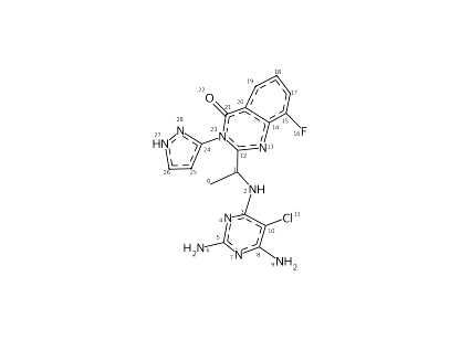 CC(Nc1nc(N)nc(N)c1Cl)c1nc2c(F)cccc2c(=O)n1-c1cc[nH]n1